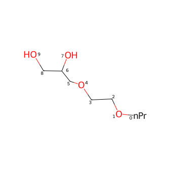 CCCOCCOCC(O)CO